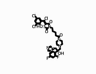 O=C(CCCCN1C(=O)SC(=C(Cl)c2cc(Cl)cc(Cl)c2O)C1=O)N1CCN(CC(O)(Cn2cncn2)c2ccc(F)cc2F)CC1